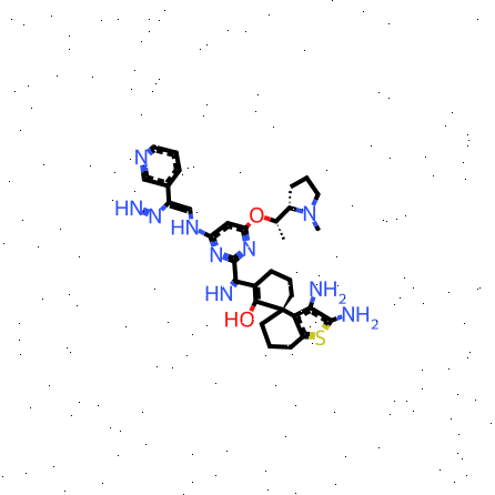 C[C@H](Oc1cc(N/C=C(\N=N)c2cccnc2)nc(C(=N)C2=C(O)[C@@]3(CCC2)CCCc2sc(N)c(N)c23)n1)[C@@H]1CCCN1C